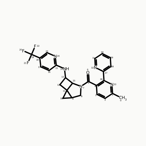 Cc1ccc(C(=O)N2CC3CC34CC(Nc3ccc(C(F)(F)F)cn3)C24)c(-c2ccccn2)n1